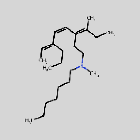 C/C=C(/C=C\C(CCN(C)CCCCCCC)=C(/C)CC)CCC